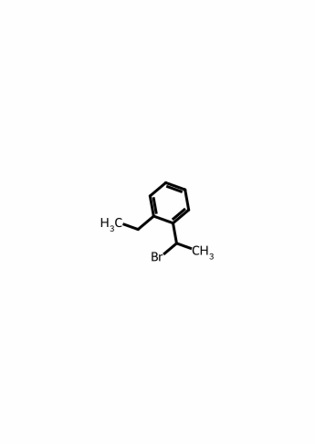 CCc1ccccc1C(C)Br